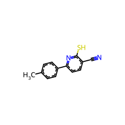 Cc1ccc(-c2ccc(C#N)c(S)n2)cc1